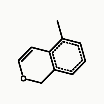 Cc1cccc2c1C=COC2